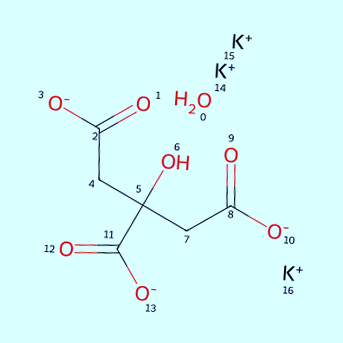 O.O=C([O-])CC(O)(CC(=O)[O-])C(=O)[O-].[K+].[K+].[K+]